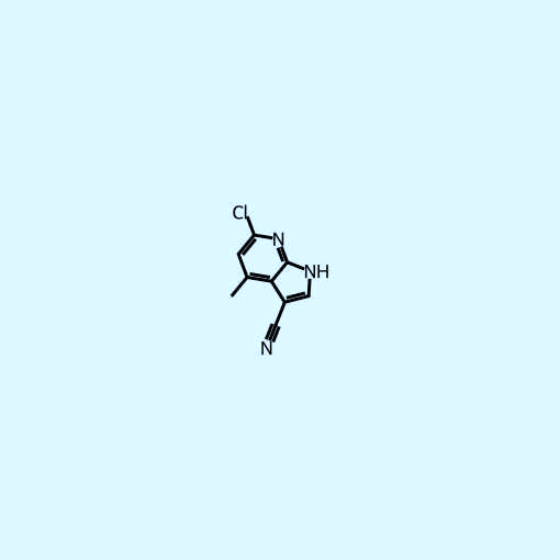 Cc1cc(Cl)nc2[nH]cc(C#N)c12